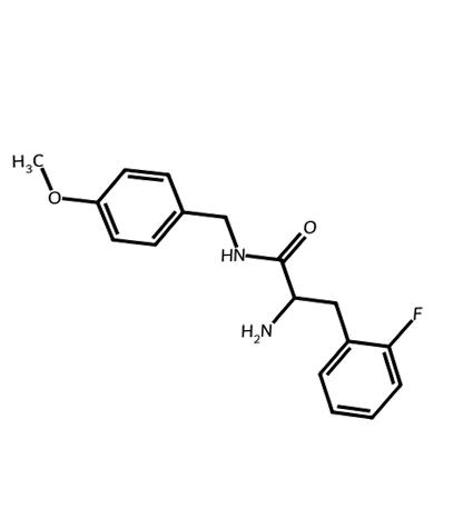 COc1ccc(CNC(=O)C(N)Cc2ccccc2F)cc1